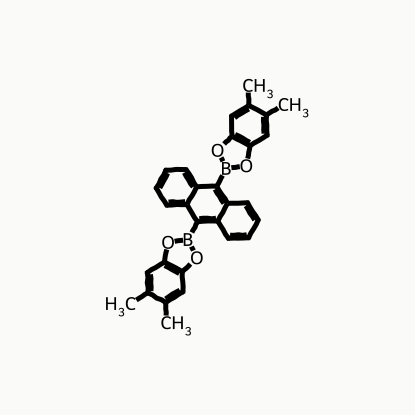 Cc1cc2c(cc1C)OB(c1c3ccccc3c(B3Oc4cc(C)c(C)cc4O3)c3ccccc13)O2